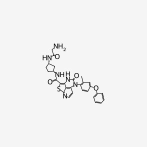 Cc1cc(Oc2ccccc2)ccc1N1C(=O)Nc2c(C(=O)N[C@H]3CC[C@@H](NC(=O)CN)C3)sc3nccc1c23